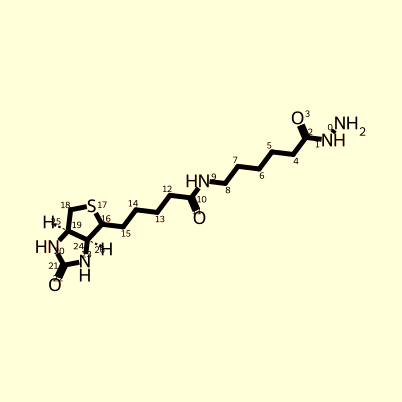 NNC(=O)CCCCCNC(=O)CCCCC1SC[C@@H]2NC(=O)N[C@H]12